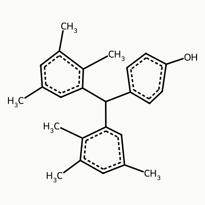 Cc1cc(C)c(C)c(C(c2ccc(O)cc2)c2cc(C)cc(C)c2C)c1